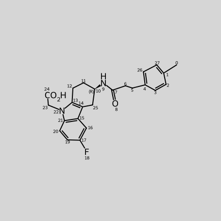 Cc1ccc(CCC(=O)N[C@@H]2CCc3c(c4cc(F)ccc4n3CC(=O)O)C2)cc1